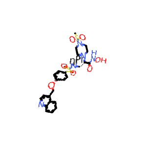 CCCN(C[C@@H](C(=O)NO)N1CCN(S(C)(=O)=O)CC1)S(=O)(=O)c1ccc(OCc2ccnc3ccccc23)cc1